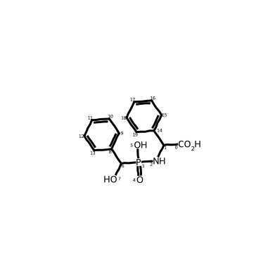 O=C(O)C(NP(=O)(O)C(O)c1ccccc1)c1ccccc1